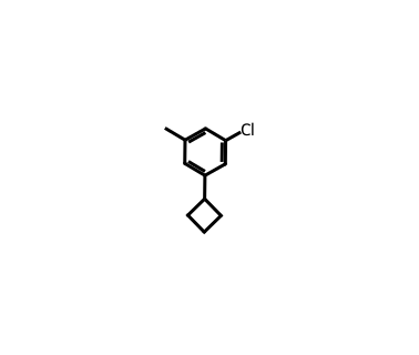 Cc1cc(Cl)cc(C2CCC2)c1